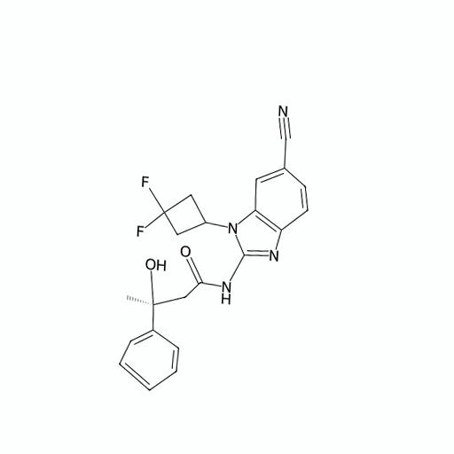 C[C@](O)(CC(=O)Nc1nc2ccc(C#N)cc2n1C1CC(F)(F)C1)c1ccccc1